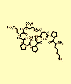 NCCCC[C@H](N)C(=O)N1CCC[C@H]1C(=O)N[C@@H](CO)C(=O)N[C@@H](CO)C(=O)N1CCC[C@H]1C(=O)N1CCC[C@H]1C(=O)N[C@@H](CCC(=O)O)C(=O)N[C@@H](CCC(=O)O)C(=O)O